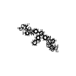 COC(=O)NC(C(=O)N1CCC[C@H]1c1nc2cc(C3CC[C@@H](C4C=Cc5[nH]c([C@@H]6CCCN6C(=O)[C@@H](NC(=O)OC)C(C)C)nc5C4)N3c3ccc(N4CCCCC4)c(F)c3)ccc2[nH]1)C(C)C